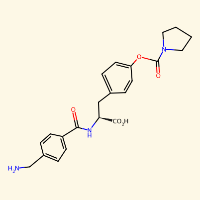 NCc1ccc(C(=O)N[C@@H](Cc2ccc(OC(=O)N3CCCC3)cc2)C(=O)O)cc1